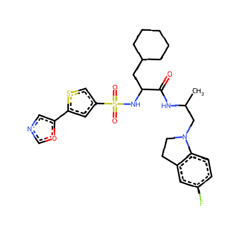 CC(CN1CCc2cc(F)ccc21)NC(=O)C(CC1CCCCC1)NS(=O)(=O)c1csc(-c2cnco2)c1